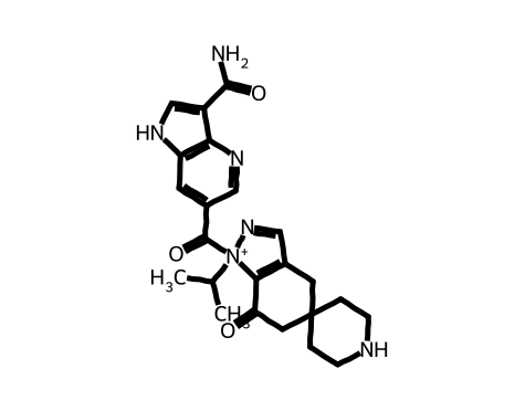 CC(C)[N+]1(C(=O)c2cnc3c(C(N)=O)c[nH]c3c2)N=CC2=C1C(=O)CC1(CCNCC1)C2